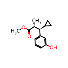 COC(=O)[C@@H](C)[C@H](c1cccc(O)c1)C1CC1